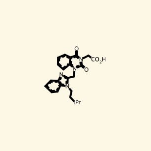 CC(C)CCn1c(Cn2c(=O)n(CC(=O)O)c(=O)c3ccccc32)nc2ccccc21